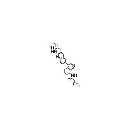 [2H]C([2H])([2H])Nc1ccc2cc(-c3cncc4c3CCCC4NC(=O)CC)ccc2n1